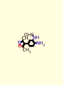 Cc1noc(C)c1-c1ccc(N)c(NC=O)c1